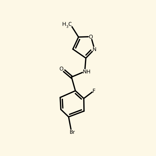 Cc1cc(NC(=O)c2ccc(Br)cc2F)no1